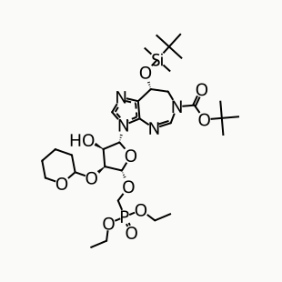 CCOP(=O)(CO[C@H]1O[C@@H](n2cnc3c2N=CN(C(=O)OC(C)(C)C)C[C@H]3O[Si](C)(C)C(C)(C)C)[C@H](O)[C@@H]1OC1CCCCO1)OCC